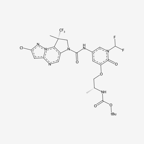 C[C@H](COc1cc(NC(=O)N2C[C@@](C)(C(F)(F)F)c3c2cnc2cc(Cl)nn32)cn(C(F)F)c1=O)NC(=O)OC(C)(C)C